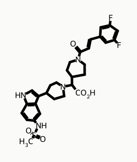 CS(=O)(=O)Nc1ccc2[nH]cc(C3CCN(C(C(=O)O)C4CCN(C(=O)/C=C/c5cc(F)cc(F)c5)CC4)CC3)c2c1